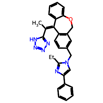 CCc1nc(-c2ccccc2)cn1Cc1ccc2c(c1)COc1ccccc1C2=C(C)c1nnn[nH]1